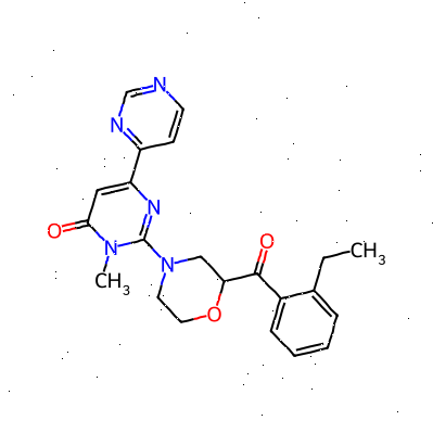 CCc1ccccc1C(=O)C1CN(c2nc(-c3ccncn3)cc(=O)n2C)CCO1